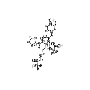 CN1CCN(CC(=O)N[C@@H](CCCSCC(=O)C(F)(F)F)C(=O)NC2CCCC2)CC1.O=C(O)C(F)(F)F